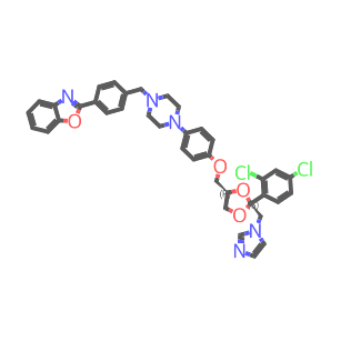 Clc1ccc([C@]2(Cn3ccnc3)OC[C@@H](COc3ccc(N4CCN(Cc5ccc(-c6nc7ccccc7o6)cc5)CC4)cc3)O2)c(Cl)c1